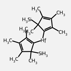 CC1=C(C)C(C)([SiH3])[C]([Hf][C]2=C(C)C(C)=C(C)C2(C)[SiH3])=C1C